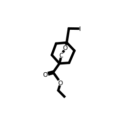 CCOC(=O)C12CCC(CI)(CC1)OC2